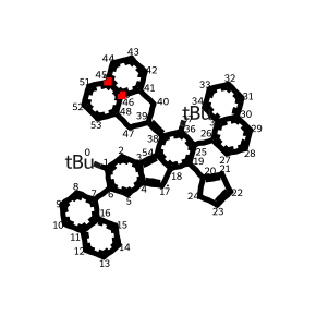 CC(C)(C)c1cc2c(cc1-c1cccc3ccccc13)=[C]c1c(C3=CC=CC3)c(-c3cccc4ccccc34)c(C(C)(C)C)c(=C(Cc3ccccc3)Cc3ccccc3)c1=2